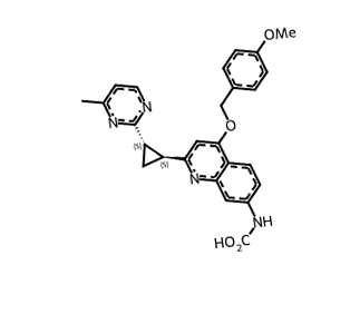 COc1ccc(COc2cc([C@H]3C[C@@H]3c3nccc(C)n3)nc3cc(NC(=O)O)ccc23)cc1